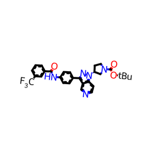 CC(C)(C)OC(=O)N1CC[C@@H](n2nc(-c3ccc(NC(=O)c4cccc(C(F)(F)F)c4)cc3)c3cnccc32)C1